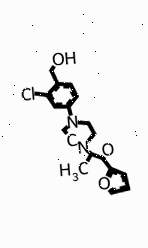 CC(C(=O)c1ccco1)N1CCN(c2ccc(CO)c(Cl)c2)CC1